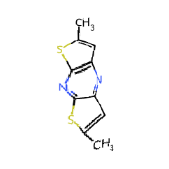 Cc1cc2nc3cc(C)sc3nc2s1